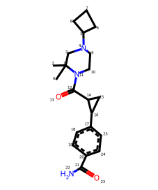 CC1(C)CN(C2CCC2)CCN1C(=O)C1CC1c1ccc(C(N)=O)cc1